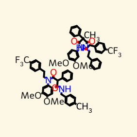 COc1ccc(N(CCc2ccc(C(F)(F)F)cc2)C(=O)C(C(=O)NCc2ccc(C)cc2)c2ccccc2)cc1OC.COc1ccc(N(CCc2ccc(C(F)(F)F)cc2)C(=O)C(C)(C(=O)NCCc2ccccc2)c2ccccc2)cc1OC